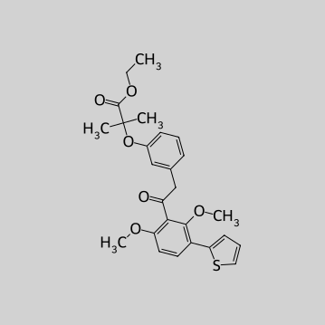 CCOC(=O)C(C)(C)Oc1cccc(CC(=O)c2c(OC)ccc(-c3cccs3)c2OC)c1